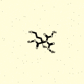 CC(C)(C)OC(=O)N(C(=O)OC(C)(C)C)[C@](CCCO)(C(=O)OC(C)(C)C)C(C)(C)C